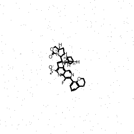 C[S+]([O-])c1nc2c(F)c(-c3cccc4c3OCCC4)ncc2c2c1cc(C1CC[C@H]3COC(=O)N13)n2[C@H]1[C@H]2CN[C@@H]1C2